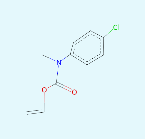 C=COC(=O)N(C)c1ccc(Cl)cc1